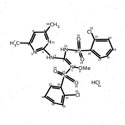 CO[N+](=C(Nc1nc(C)cc(C)n1)NS(=O)(=O)c1ccccc1Cl)S(=O)(=O)c1ccccc1Cl.Cl